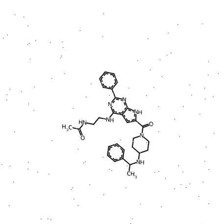 CC(=O)NCCNc1nc(-c2ccccc2)nc2[nH]c(C(=O)N3CCC(NC(C)c4ccccc4)CC3)cc12